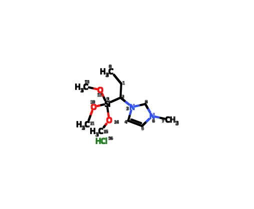 CCC(N1C=CN(C)C1)[Si](OC)(OC)OC.Cl